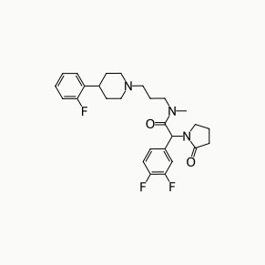 CN(CCCN1CCC(c2ccccc2F)CC1)C(=O)C(c1ccc(F)c(F)c1)N1CCCC1=O